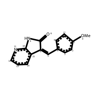 COc1ccc(C=C2C(=O)Nc3ncccc32)cc1